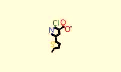 COC(=O)c1cc(-c2ccc(C)s2)cnc1Cl